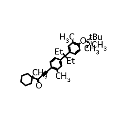 CCC(CC)(c1ccc(C#CC(=O)C2(C)CCCCC2)c(C)c1)c1ccc(O[Si](C)(C)C(C)(C)C)c(C)c1